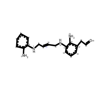 Nc1ccccc1NC/C=C/CNc1cccc(CC=O)c1N